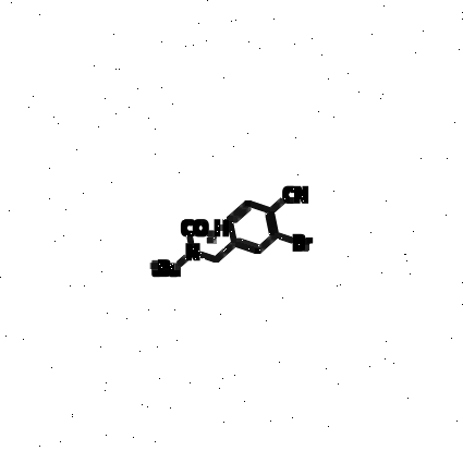 CC(C)(C)N(Cc1ccc(C#N)c(Br)c1)C(=O)O